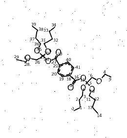 CCCCOC(COCC)(OCCCC)OC(=O)c1ccc(C(=O)OC(COCC)(OCCCC)OCCCC)cc1